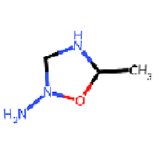 CC1NCN(N)O1